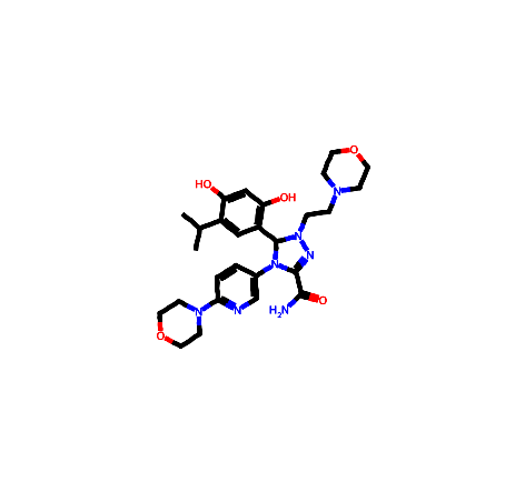 CC(C)c1cc(C2N(CCN3CCOCC3)N=C(C(N)=O)N2c2ccc(N3CCOCC3)nc2)c(O)cc1O